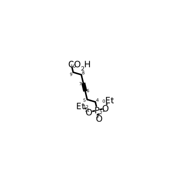 CCOP(=O)(CCC#CCCC(=O)O)OCC